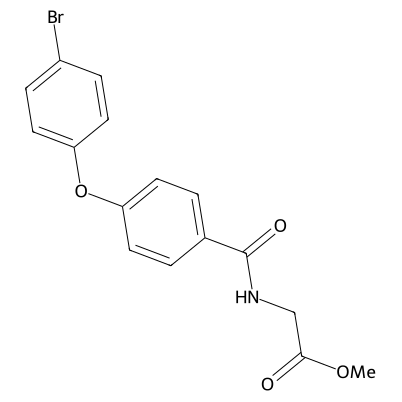 COC(=O)CNC(=O)c1ccc(Oc2ccc(Br)cc2)cc1